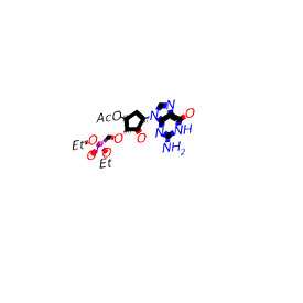 CCOP(=O)(CO[C@H]1C(=O)[C@@H](n2cnc3c(=O)[nH]c(N)nc32)C[C@H]1OC(C)=O)OCC